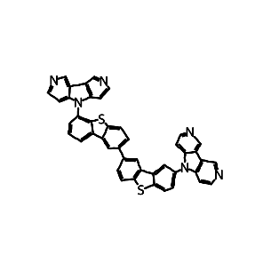 c1cc(-n2c3ccncc3c3cnccc32)c2sc3ccc(-c4ccc5sc6ccc(-n7c8ccncc8c8cnccc87)cc6c5c4)cc3c2c1